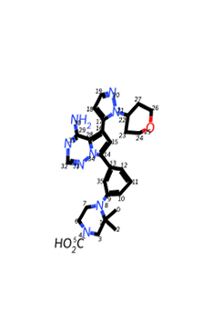 CC1(C)CN(C(=O)O)CCN1c1cccc(-c2cc(-c3ccnn3C3CCOCC3)c3c(N)ncnn23)c1